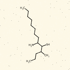 CCCCCCCCC(N)C(S)C(C)CCC